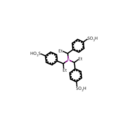 CCC(c1ccc(S(=O)(=O)O)cc1)P(C(CC)c1ccc(S(=O)(=O)O)cc1)C(CC)c1ccc(S(=O)(=O)O)cc1